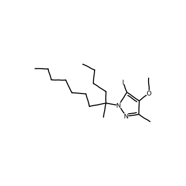 CCCCCCCC(C)(CCCC)n1nc(C)c(OC)c1I